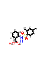 Cc1ccc(S(=O)(=O)Nc2ccccc2C(=O)O)c(C)c1